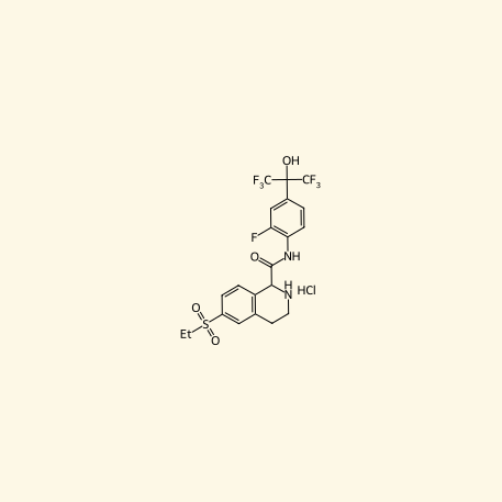 CCS(=O)(=O)c1ccc2c(c1)CCNC2C(=O)Nc1ccc(C(O)(C(F)(F)F)C(F)(F)F)cc1F.Cl